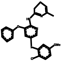 COc1ccc(Cl)c(Sc2cnc(NC3=NC(C)=CCC3)c(Oc3ccccc3)c2)c1